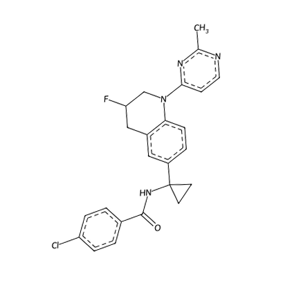 Cc1nccc(N2CC(F)Cc3cc(C4(NC(=O)c5ccc(Cl)cc5)CC4)ccc32)n1